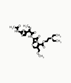 CCN(CC)CCOC(=O)C1=C(COC)CSC2[C@H](NC(=O)/C(=N/C)c3csc(NC(C)=O)n3)C(=O)N12